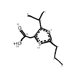 CCCc1nc(C(C)C)c(C(=O)O)s1